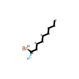 CCCCCCCCC(F)Br